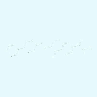 CC(C)NC(=O)c1ccc2c(c1)CCC(CCN1CCC(c3ccccc3)CC1)C2=O